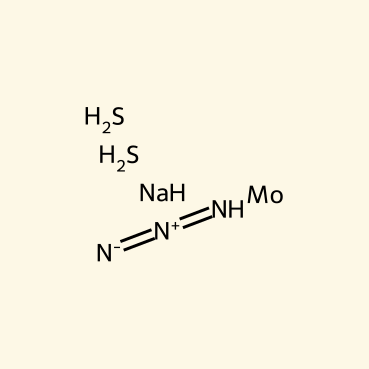 S.S.[Mo].[N-]=[N+]=N.[NaH]